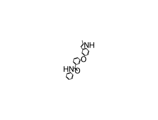 Cc1cc2cc(Oc3cccc(C(=O)Nc4ccccc4)c3)ccc2[nH]1